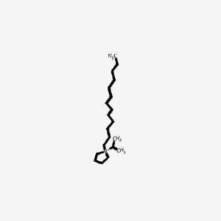 CCCCCCCCCCCCC[N+]1(C(C)C)CCCC1